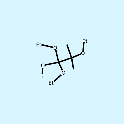 CCOC(C)(C)C([O][Ti])(OCC)OCC